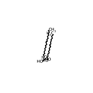 CCCCCCCCC=CCCCCCCCC(=O)O.CCCCCCCCC=CCCCCCCCCC1=NC(CO)CO1